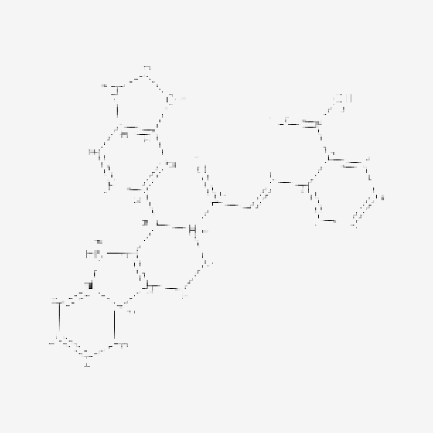 O=C(O)c1ccccc1/C=C/C(=O)N1CCc2c([nH]c3ccccc23)C1c1ccc2c(c1)OCO2